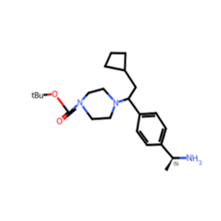 C[C@H](N)c1ccc(C(CC2CCC2)N2CCN(C(=O)OC(C)(C)C)CC2)cc1